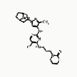 Cc1nn(C2CC3CCC(C2)N3C)cc1Nc1ncc(Cl)c(NCCCN2CCCOC2=O)n1